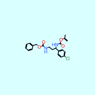 C=C(C)OC(=O)NC(CCNC(=O)OCc1ccccc1)c1ccc(Cl)cc1